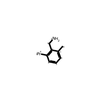 Cc1cccc(C(C)C)c1CN